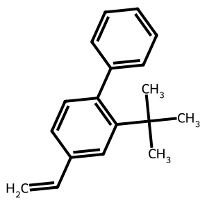 C=Cc1ccc(-c2ccccc2)c(C(C)(C)C)c1